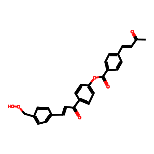 CC(=O)/C=C/c1ccc(C(=O)Oc2ccc(C(=O)/C=C/c3ccc(COO)cc3)cc2)cc1